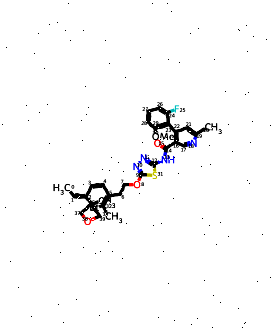 C\C=C(/C=C\C(CCOc1nnc(NC(=O)c2cnc(C)cc2-c2c(F)cccc2OC)s1)=C(\C)CC)C1(C)COC1